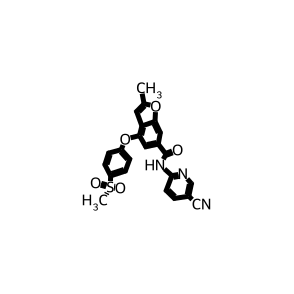 Cc1cc2c(Oc3ccc(S(C)(=O)=O)cc3)cc(C(=O)Nc3ccc(C#N)cn3)cc2o1